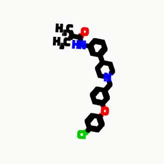 CC(C)C(=O)Nc1cccc(C2CCN(Cc3cccc(Oc4ccc(Cl)cc4)c3)CC2)c1